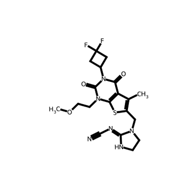 COCCn1c(=O)n(C2CC(F)(F)C2)c(=O)c2c(C)c(CN3CCNC3=NC#N)sc21